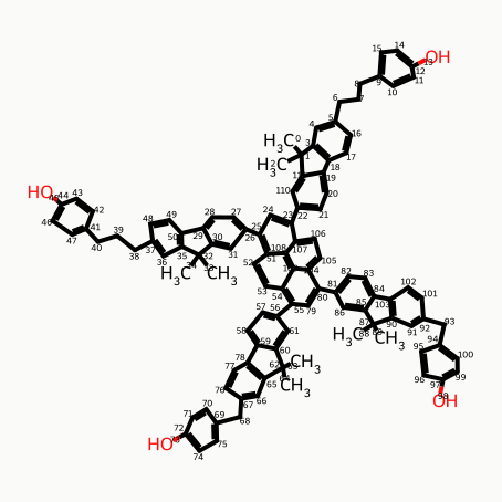 CC1(C)c2cc(CCCc3ccc(O)cc3)ccc2-c2ccc(-c3cc(-c4ccc5c(c4)C(C)(C)c4cc(CCCc6ccc(O)cc6)ccc4-5)c4ccc5c(-c6ccc7c(c6)C(C)(C)c6cc(Cc8ccc(O)cc8)ccc6-7)cc(-c6ccc7c(c6)C(C)(C)c6cc(Cc8ccc(O)cc8)ccc6-7)c6ccc3c4c65)cc21